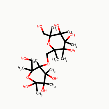 CC1(O)OC(C)(CO)C(C)(OCC2(C)OC(C)(CO)C(C)(O)C(C)(O)C2(C)O)C(C)(O)C1(C)O